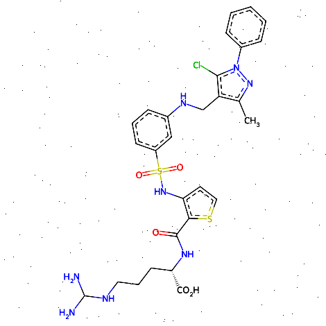 Cc1nn(-c2ccccc2)c(Cl)c1CNc1cccc(S(=O)(=O)Nc2ccsc2C(=O)N[C@@H](CCCNC(N)N)C(=O)O)c1